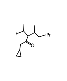 CC(C)CC(C)C(C(=O)CC1CC1)C(C)F